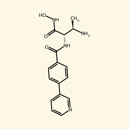 C[C@@H](N)[C@H](NC(=O)c1ccc(-c2cccnc2)cc1)C(=O)NO